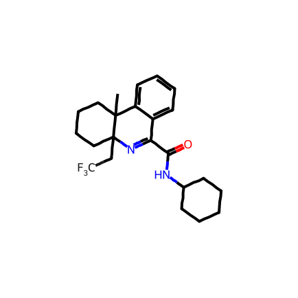 CC12CCCCC1(CC(F)(F)F)N=C(C(=O)NC1CCCCC1)c1ccccc12